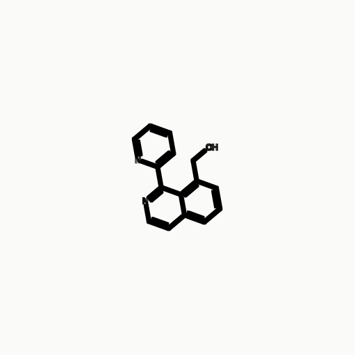 OCc1cccc2ccnc(-c3ccccn3)c12